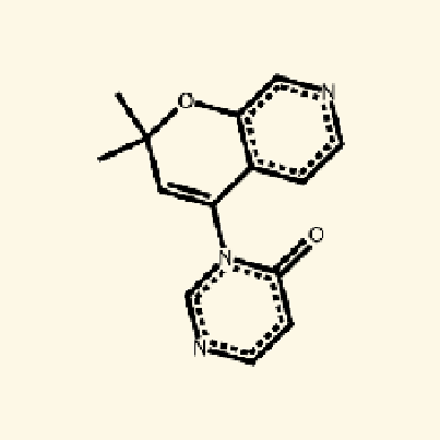 CC1(C)C=C(n2cnccc2=O)c2ccncc2O1